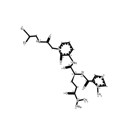 CCC(CC)CNC(=O)Cn1cccc(NC(=O)[C@H](CCC(=O)N(C)OC)NC(=O)c2cncn2C)c1=O